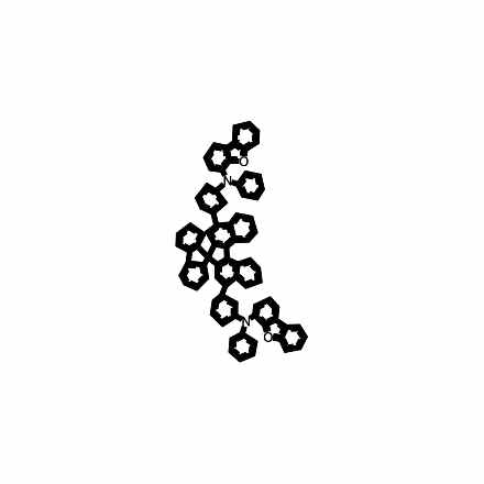 c1ccc(N(c2cccc(-c3cc4c(c5ccccc35)-c3c(cc(-c5cccc(N(c6ccccc6)c6cccc7c6oc6ccccc67)c5)c5ccccc35)C43c4ccccc4-c4ccccc43)c2)c2cccc3c2oc2ccccc23)cc1